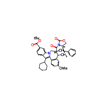 COc1ccc2c(c1)C(C)[C@@](C)(C(=O)N1C(=O)OC[C@H]1Cc1ccccc1)Cn1c-2c(C2CCCCC2)c2ccc(C(=O)OC(C)(C)C)cc21